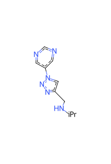 CC(C)NCc1cn(-c2cncnc2)nn1